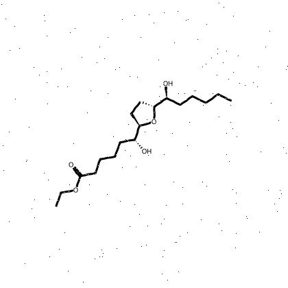 CCCCC[C@H](O)[C@H]1CC[C@H]([C@H](O)CCCCC(=O)OCC)O1